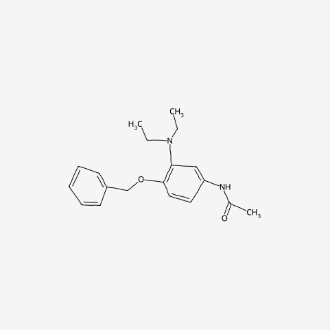 CCN(CC)c1cc(NC(C)=O)ccc1OCc1ccccc1